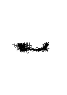 Cc1cn(C2CC(N=[N+]=[N-])C(COP(=O)(O)OCc3ccc(OC(=O)CCCSSCCOCCSCC4CC(O)C(OC5C(O)C(NC(=N)N)CC(NC(=N)N)C5OC5OC(CNC(=N)N)C6OC6C5NC(=N)N)O4)cc3)O2)c(=O)[nH]c1=O